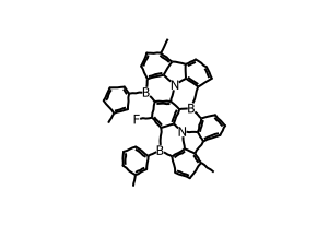 Cc1cccc(B2c3c(F)c4c5c6c3-n3c7c(cccc7c7c(C)ccc2c73)B6c2cccc3c6c(C)ccc(c6n-5c23)B4c2cccc(C)c2)c1